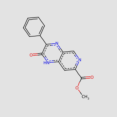 COC(=O)c1cc2[nH]c(=O)c(C3=CC=C=C=C3)nc2cn1